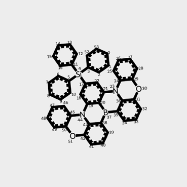 c1ccc([Si](c2ccccc2)(c2ccccc2)c2cc3c4c(c2)N2c5ccccc5Oc5cccc(c52)B4c2cccc4c2N3c2ccccc2O4)cc1